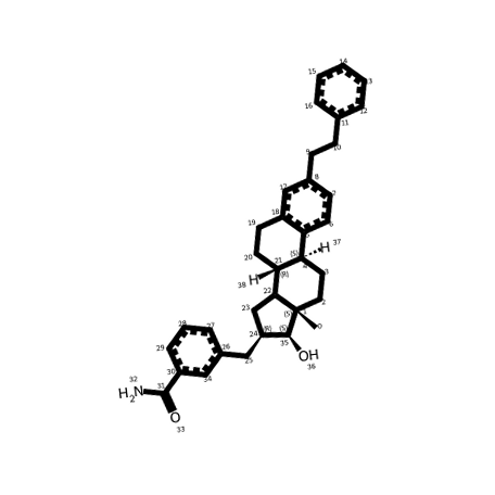 C[C@]12CC[C@@H]3c4ccc(CCc5ccccc5)cc4CC[C@H]3C1C[C@H](Cc1cccc(C(N)=O)c1)[C@@H]2O